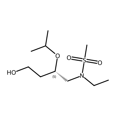 CCN(C[C@H](CCO)OC(C)C)S(C)(=O)=O